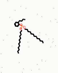 CCCCCCCCCCCCCOP(OCCCCCCCCCCCCC)Oc1ccccc1CCCC